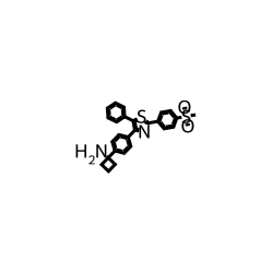 CS(=O)(=O)c1ccc(-c2nc(-c3ccc(C4(N)CCC4)cc3)c(-c3ccccc3)s2)cc1